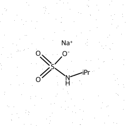 CC(C)NS(=O)(=O)[O-].[Na+]